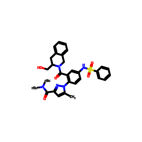 CCCCN(CCCC)C(=O)c1cc(C)n(-c2ccc(NS(=O)(=O)c3ccccc3)cc2C(=O)N2Cc3ccccc3CC2CO)n1